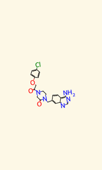 Nc1ncnc2cc(CN3CCN(C(=O)COc4ccc(Cl)cc4)CC3=O)ccc12